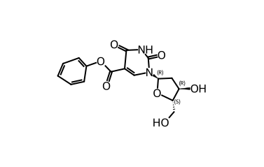 O=C(Oc1ccccc1)c1cn([C@H]2C[C@@H](O)[C@H](CO)O2)c(=O)[nH]c1=O